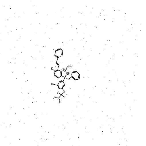 CC(C)(C)[S+]([O-])N[C@@](Cc1ccccc1)(c1cc(F)cc(OC(F)(F)C(F)F)c1)c1ccc(F)c(C=Cc2ccccc2)c1